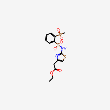 CCOC(=O)Cc1csc(NS(=O)(=O)c2ccccc2S(C)(=O)=O)n1